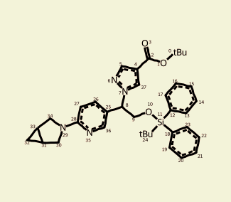 CC(C)(C)OC(=O)c1cnn(C(CO[Si](c2ccccc2)(c2ccccc2)C(C)(C)C)c2ccc(N3CC4CC4C3)nc2)c1